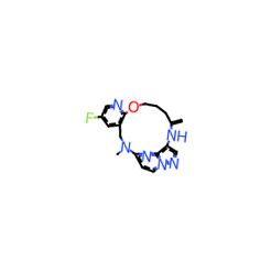 C=C1CCCOc2ncc(F)cc2CN(C)c2ccn3ncc(c3n2)N1